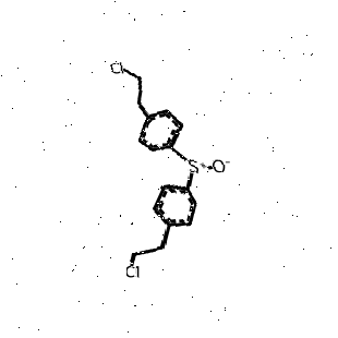 [O-][S+](c1ccc(CCCl)cc1)c1ccc(CCCl)cc1